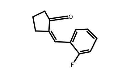 O=C1CCCC1=Cc1ccccc1F